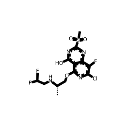 C[C@@H](COc1nc(Cl)c(F)c2nc(S(C)(=O)=O)nc(O)c12)NCC(F)F